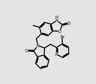 Cc1cc2[nH]c(=O)oc2cc1CN1C(=O)c2ccccc2C1Cc1ncccc1Br